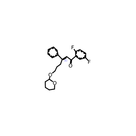 O=C(/C=C(\CCCOC1CCCCO1)c1ccccc1)c1cc(F)ccc1F